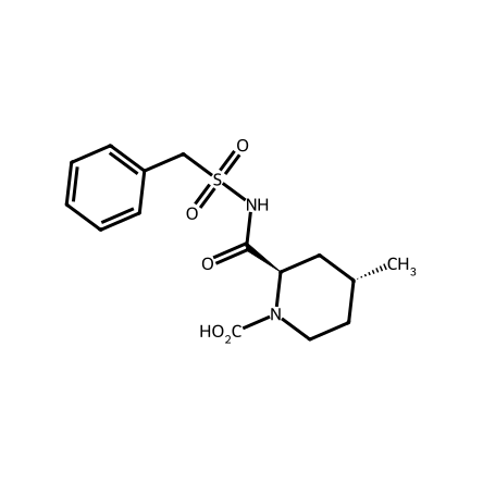 C[C@@H]1CCN(C(=O)O)[C@@H](C(=O)NS(=O)(=O)Cc2ccccc2)C1